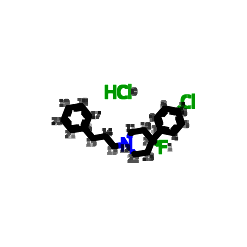 Cl.FC1(c2ccc(Cl)cc2)CCN(CCCc2ccccc2)CC1